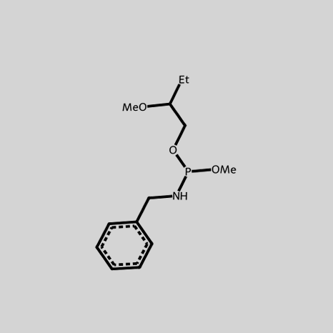 CCC(COP(NCc1ccccc1)OC)OC